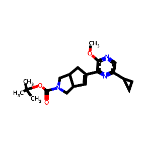 COc1ncc(C2CC2)nc1C1=CC2CN(C(=O)OC(C)(C)C)CC2C1